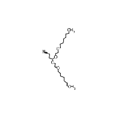 CCCCCCCCOCCOC(CCC#N)OCCOCCCCCCCC